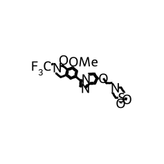 COc1cc(-c2cnc3cc(OCCN4CCS(=O)(=O)CC4)ccn23)cc2c1C(=O)N(CC(F)(F)F)CC2